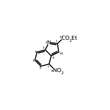 CCOC(=O)C1=NC2=CC=CC([N+](=O)[O-])C2=C1